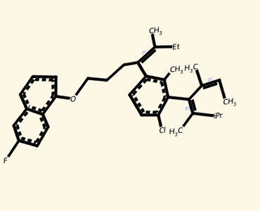 C/C=C(C)\C(=C(\C)C(C)C)c1c(Cl)ccc(/C(CCCOc2cccc3cc(F)ccc23)=C(/C)CC)c1C